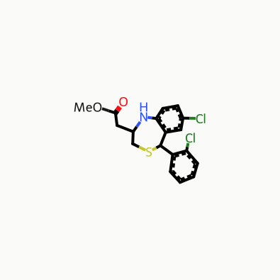 COC(=O)CC1CSC(c2ccccc2Cl)c2cc(Cl)ccc2N1